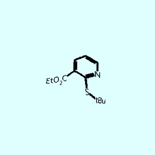 CCOC(=O)c1cccnc1SC(C)(C)C